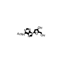 CC(=O)Nc1ncnc2c1ncn2[C@H]1C[C@@H](O)C(CO)O1